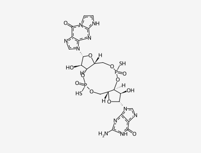 Nc1nc2c(ncn2[C@@H]2O[C@@H]3COP(=O)(S)O[C@H]4[C@@H](O)[C@H](n5cnc6c(=O)n7cc[nH]c7nc65)O[C@@H]4COP(=O)(S)O[C@H]3[C@H]2O)c(=O)[nH]1